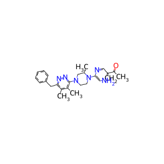 C=C(/C=N\C(=C/N)N1CCN(c2nnc(Cc3ccccc3)c(C)c2C)C[C@H]1C)C(C)=O